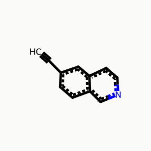 C#Cc1ccc2[c]nccc2c1